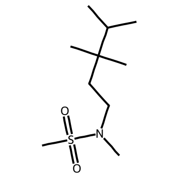 CC(C)C(C)(C)CCN(C)S(C)(=O)=O